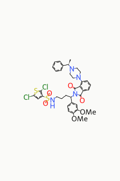 COc1ccc(C(CCCNS(=O)(=O)c2cc(Cl)sc2Cl)N2C(=O)c3cccc(N4CCN([C@H](C)c5ccccc5)CC4)c3C2=O)cc1OC